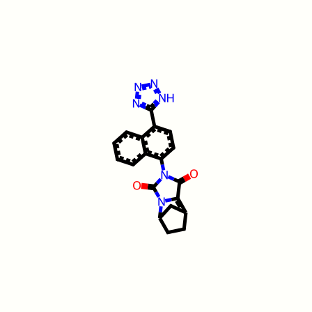 O=C1C2=C3CCC(C3)N2C(=O)N1c1ccc(-c2nnn[nH]2)c2ccccc12